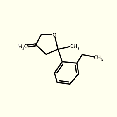 C=C1COC(C)(c2ccccc2CC)C1